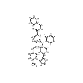 O=C([C@H](Cc1ccccc1)N(Cc1ccc(-n2cncn2)cc1)C(=O)/C=C/c1ccc(C(F)(F)F)cc1)N1CCc2ccccc2C1